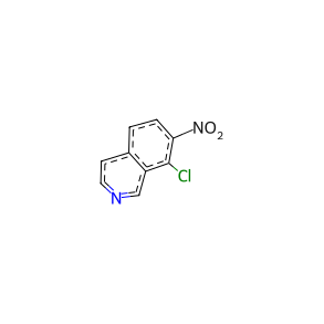 O=[N+]([O-])c1ccc2ccncc2c1Cl